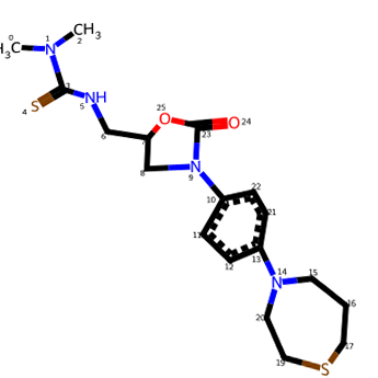 CN(C)C(=S)NCC1CN(c2ccc(N3CCCSCC3)cc2)C(=O)O1